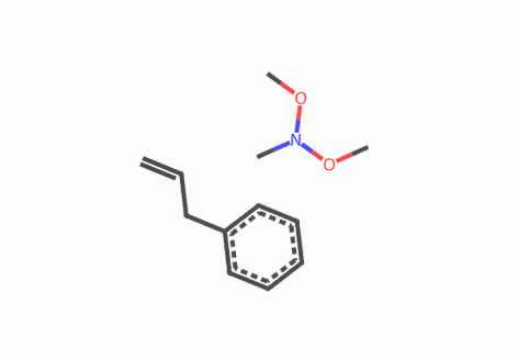 C=CCc1ccccc1.CON(C)OC